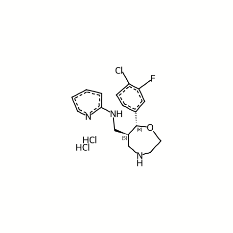 Cl.Cl.Fc1cc([C@@H]2OCCNC[C@H]2CNc2ccccn2)ccc1Cl